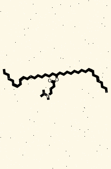 CCCC/C=C/C/C=C\CCCCCCCCC(CCCCCCCC/C=C\C/C=C\CCCCC)OC(=O)CCCN(C)C(C)C